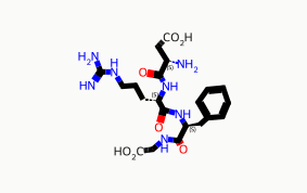 N=C(N)NCCC[C@H](NC(=O)[C@@H](N)CC(=O)O)C(=O)N[C@@H](Cc1ccccc1)C(=O)NCC(=O)O